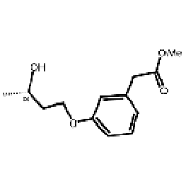 COC(=O)Cc1cccc(OCC[C@H](C)O)c1